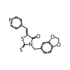 O=C1C(=Cc2ccncc2)SC(=S)N1Cc1ccc2c(c1)OCO2